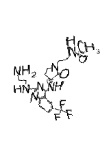 CC(=O)NCCN1CC[C@H](Nc2nc(NCCN)nc3ccc(C(F)(F)F)cc23)C1=O